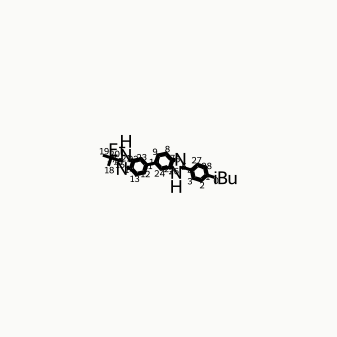 CCC(C)c1ccc(-c2nc3ccc(-c4ccc5nc(C(C)(C)CC)[nH]c5c4)cc3[nH]2)cc1